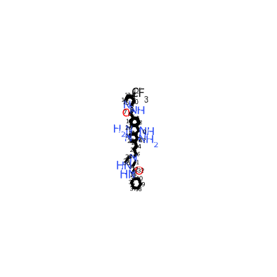 N=C(c1ccc(C(=O)Nc2cc(C(F)(F)F)ccn2)cc1)c1c(N)ncc(/C=C/CN2CCN[C@@H](C(=O)NC3CCCCC3)C2)c1N